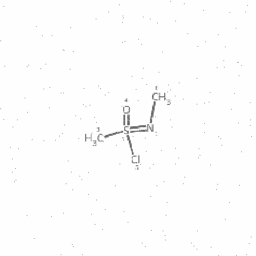 CN=S(C)(=O)Cl